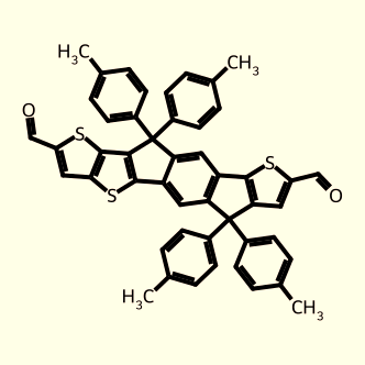 Cc1ccc(C2(c3ccc(C)cc3)c3cc4c(cc3-c3sc(C=O)cc32)C(c2ccc(C)cc2)(c2ccc(C)cc2)c2c-4sc3cc(C=O)sc23)cc1